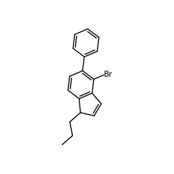 CCCC1C=Cc2c1ccc(-c1ccccc1)c2Br